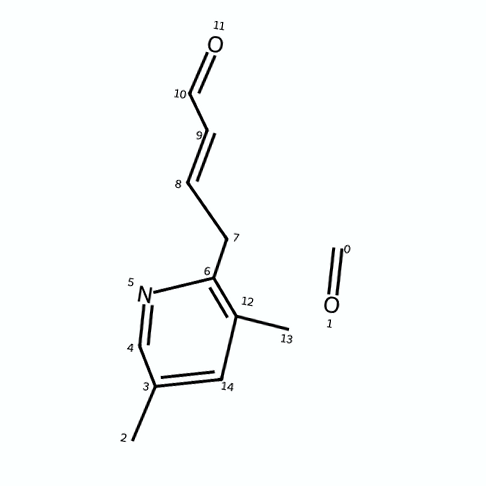 C=O.Cc1cnc(CC=CC=O)c(C)c1